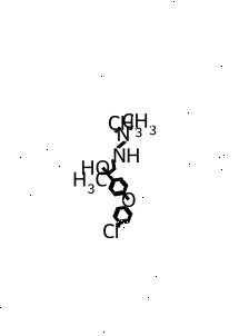 CCN(CC)CCNCCC(C)(O)c1ccc(Oc2ccc(Cl)cc2)cc1